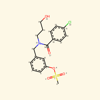 CS(=O)(=O)Oc1cccc(CN(CCCO)C(=O)c2ccc(Cl)cc2)c1